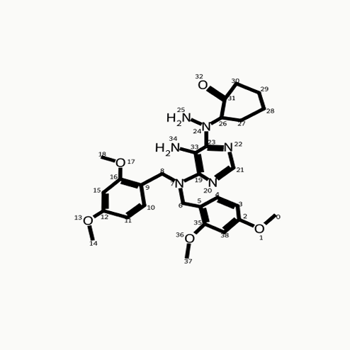 COc1ccc(CN(Cc2ccc(OC)cc2OC)c2ncnc(N(N)C3CCCCC3=O)c2N)c(OC)c1